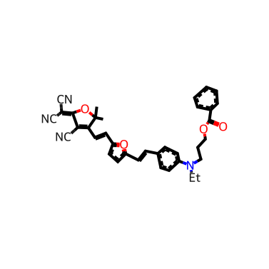 CCN(CCCOC(=O)c1ccccc1)c1ccc(/C=C/c2ccc(/C=C/C3=C(C#N)C(=C(C#N)C#N)OC3(C)C)o2)cc1